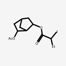 CCC(I)C(=O)OC1CC2CC(OC(C)=O)C1C2